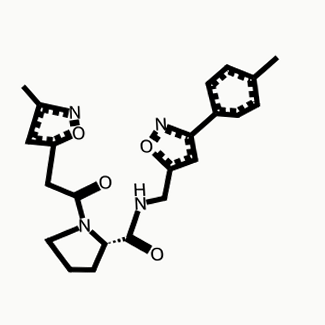 Cc1ccc(-c2cc(CNC(=O)[C@@H]3CCCN3C(=O)Cc3cc(C)no3)on2)cc1